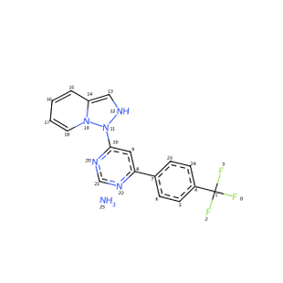 FC(F)(F)c1ccc(-c2cc(N3NC=C4C=CC=CN43)ncn2)cc1.N